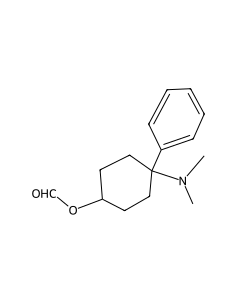 CN(C)C1(c2ccccc2)CCC(OC=O)CC1